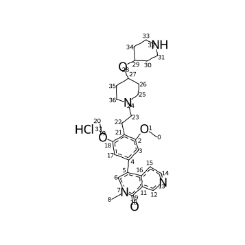 COc1cc(-c2cn(C)c(=O)c3cnccc23)cc(OC)c1CCN1CCC(OC2CCNCC2)CC1.Cl